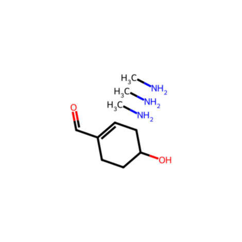 CN.CN.CN.O=CC1=CCC(O)CC1